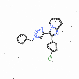 Clc1ccc(-c2nc3ccccn3c2-c2cn(Cc3ccccc3)nn2)cc1